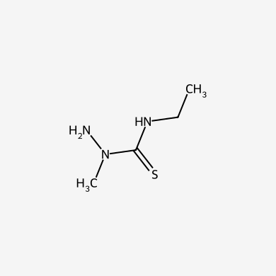 CCNC(=S)N(C)N